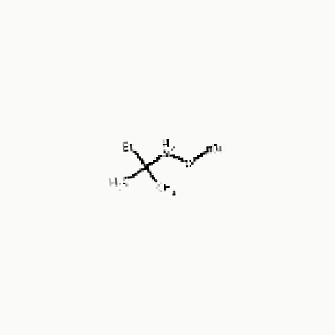 CCCCO[SiH2]C(C)(C)CC